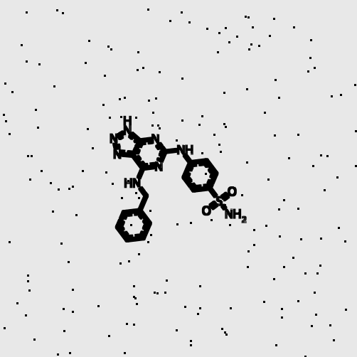 NS(=O)(=O)c1ccc(Nc2nc(NCc3ccccc3)c3nn[nH]c3n2)cc1